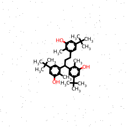 Cc1c(O)cc(C(C)(C)C)cc1CCC(c1cc(C(C)(C)C)cc(O)c1C)c1cc(C(C)(C)C)cc(O)c1C